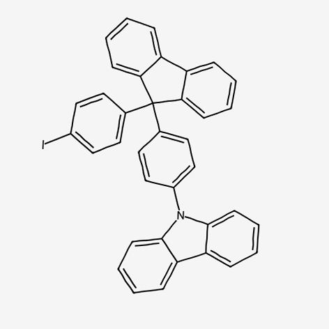 Ic1ccc(C2(c3ccc(-n4c5ccccc5c5ccccc54)cc3)c3ccccc3-c3ccccc32)cc1